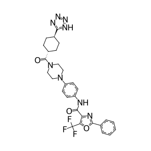 O=C(Nc1ccc(N2CCN(C(=O)[C@H]3CC[C@H](c4nnn[nH]4)CC3)CC2)cc1)c1nc(-c2ccccc2)oc1C(F)(F)F